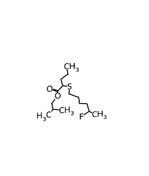 CCCC(SCCCCC(C)F)C(=O)OCC(C)C